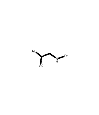 CCNCC(C(C)=O)C(C)=O